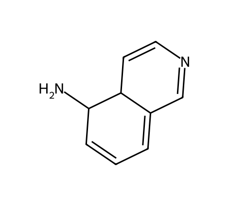 NC1C=CC=C2C=NC=CC21